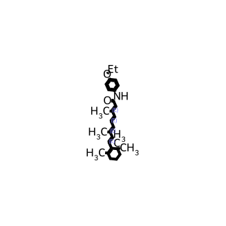 CCOc1ccc(NC(=O)/C=C(C)/C=C/C=C(C)/C=C/C2=C(C)CCCC2(C)C)cc1